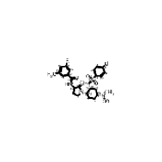 CC(C)N(C)[C@@H]1CC[C@H](N2CCC(NC(=O)c3cc(F)cc(C(F)(F)F)c3)C2=O)[C@H](CS(=O)(=O)c2ccc(Cl)cc2)C1